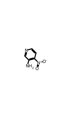 Nc1cnccc1[N+](=O)[O-]